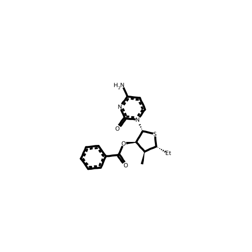 CC[C@H]1S[C@@H](n2ccc(N)nc2=O)[C@H](OC(=O)c2ccccc2)[C@@H]1C